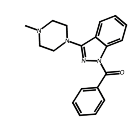 CN1CCN(c2nn(C(=O)c3ccccc3)c3ccccc23)CC1